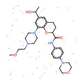 COCCN1CCN(c2cc(C(C)O)cc3c2OC(C(=O)Nc2ccc(N4CCOCC4)cc2)CC3)CC1